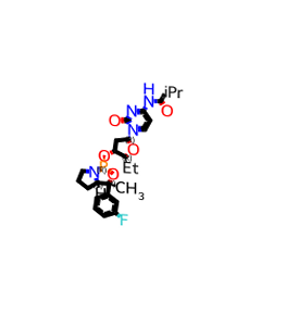 CC[C@H]1O[C@@H](n2ccc(NC(=O)C(C)C)nc2=O)CC1O[P@@]1O[C@](C)(c2cccc(F)c2)[C@@H]2CCCN21